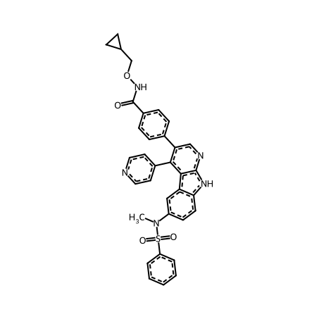 CN(c1ccc2[nH]c3ncc(-c4ccc(C(=O)NOCC5CC5)cc4)c(-c4ccncc4)c3c2c1)S(=O)(=O)c1ccccc1